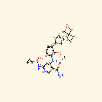 COc1c(Nc2cc(NC(=O)C3CC3)ncc2C(N)=O)cccc1-c1cnn([C@@H]2CCC23COC3)c1